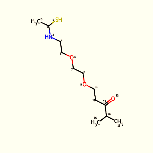 CC(S)NCCOCCOCCC(=O)C(C)C